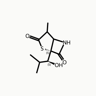 CC1C(=O)S[C@@]2([C@@H](O)C(C)C)C(=O)NC12